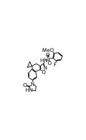 COc1cccc(F)c1S(=O)(=O)Nc1noc2c1CC1(CC1)c1ccc(N3CCNC3=O)cc1-2